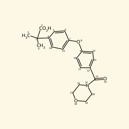 CC(C)(C(=O)O)c1ccc(Oc2ccc(C(=O)N3CCOCC3)cc2)cc1